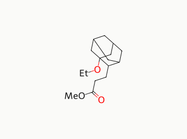 CCOC12CC3CC(CC(C3)C1CCC(=O)OC)C2